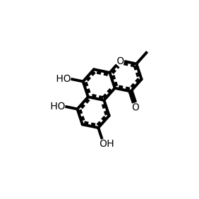 Cc1cc(=O)c2c(cc(O)c3c(O)cc(O)cc32)o1